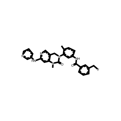 Cc1ccc(NC(=O)c2cccc(CF)c2)cc1N1Cc2cnc(Nc3cccnc3)cc2N(C)C1=O